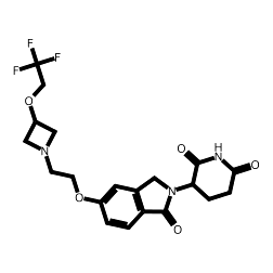 O=C1CCC(N2Cc3cc(OCCN4CC(OCC(F)(F)F)C4)ccc3C2=O)C(=O)N1